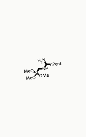 CCCCCC(N)NC[Si](OC)(OC)OC